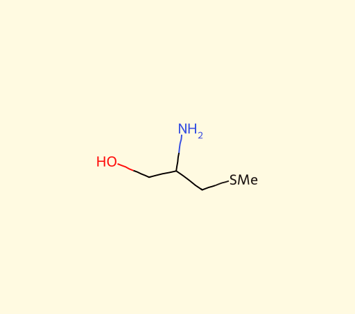 CSCC(N)CO